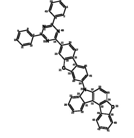 c1ccc(-c2nc(-c3ccccc3)nc(-c3ccc4c(c3)oc3cc(-n5c6ccccc6c6c7c(ccc65)oc5ccccc57)ccc34)n2)cc1